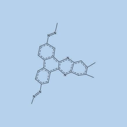 CN=Nc1ccc2c3ccc(N=NC)cc3c3nc4cc(C)c(C)cc4nc3c2c1